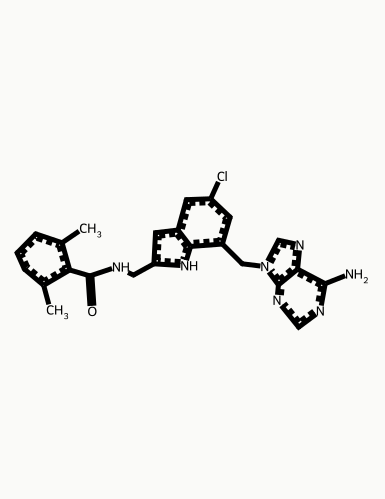 Cc1cccc(C)c1C(=O)NCc1cc2cc(Cl)cc(Cn3cnc4c(N)ncnc43)c2[nH]1